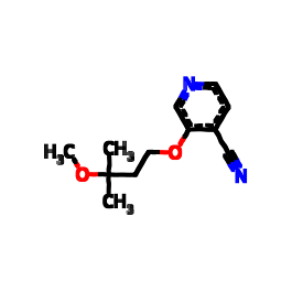 COC(C)(C)CCOc1cnccc1C#N